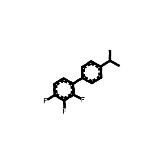 CC(C)c1ccc(-c2ccc(F)c(F)c2F)cc1